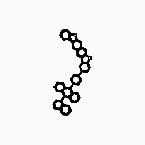 C1=C(c2ccc(-c3c4ccccc4c(-c4cccc5ccccc45)c4ccccc34)cc2)CC2C(=C1)Oc1cc3cc4sc5ccccc5c4cc3cc12